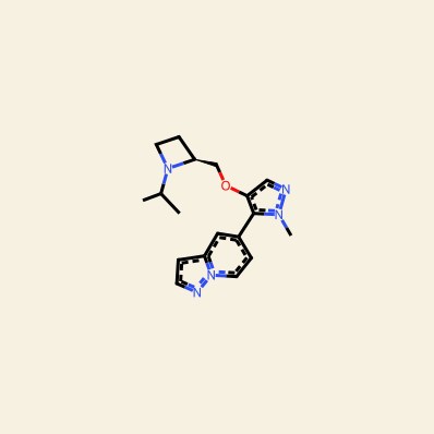 CC(C)N1CC[C@H]1COc1cnn(C)c1-c1ccn2nccc2c1